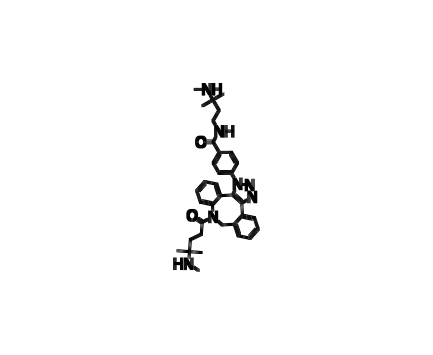 CNC(C)(C)CCNC(=O)c1ccc(-n2nnc3c2-c2ccccc2N(C(=O)CCC(C)(C)NC)Cc2ccccc2-3)cc1